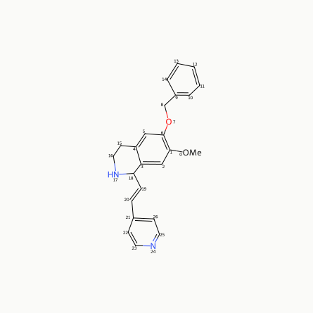 COc1cc2c(cc1OCc1ccccc1)CCNC2C=Cc1ccncc1